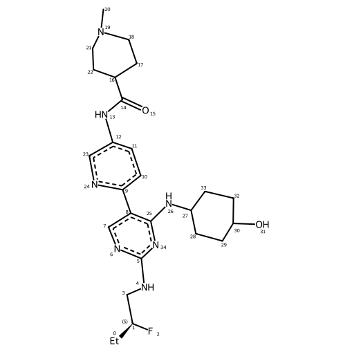 CC[C@H](F)CNc1ncc(-c2ccc(NC(=O)C3CCN(C)CC3)cn2)c(NC2CCC(O)CC2)n1